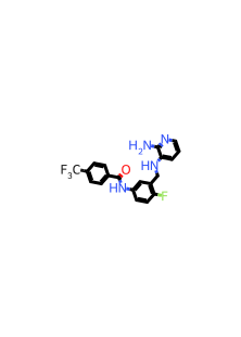 Nc1ncccc1NCc1cc(NC(=O)c2ccc(C(F)(F)F)cc2)ccc1F